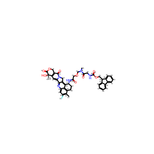 CC[C@@]1(O)C(=O)OCc2c1cc1n(c2=O)Cc2c-1nc1cc(F)c(C)c3c1c2[C@@H](NC(=O)COCN(C)C(=O)CNC(=O)OCC1c2ccccc2-c2ccccc21)CC3